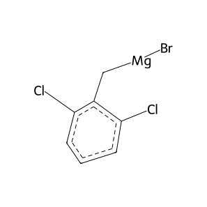 Clc1cccc(Cl)c1[CH2][Mg][Br]